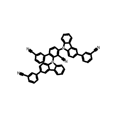 N#Cc1cccc(-c2ccc3c(c2)c2ccccc2n3-c2ccc(-c3cccc(C#N)c3)c(-n3c4ccccc4c4cc(-c5cccc(C#N)c5)ccc43)c2C#N)c1